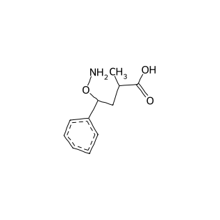 CC(CC(ON)c1ccccc1)C(=O)O